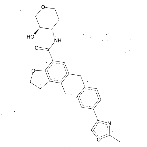 Cc1nc(-c2ccc(Cc3cc(C(=O)N[C@H]4CCOC[C@@H]4O)c4c(c3C)CCO4)cc2)co1